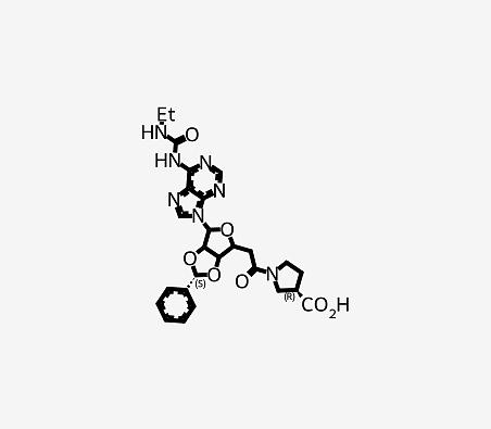 CCNC(=O)Nc1ncnc2c1ncn2C1OC(CC(=O)N2CC[C@@H](C(=O)O)C2)C2O[C@H](c3ccccc3)OC21